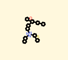 c1ccc(-c2ccc(-c3cc(-c4ccc5ccc(-c6nc(-c7ccc8ccccc8c7)nc(-c7ccc8sc9ccccc9c8c7)n6)cc5c4)c4c(c3)oc3ccccc34)cc2)cc1